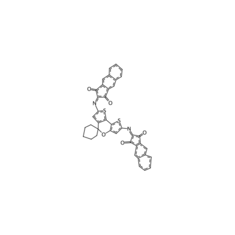 O=c1c(=Nc2cc3c(s2)-c2sc(N=c4c(=O)c5cc6ccccc6cc5c4=O)cc2C2(CCCCC2)O3)c(=O)c2cc3ccccc3cc12